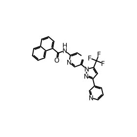 C=C(/C=N\C(=C/C)NC(=O)c1cccc2ccccc12)n1nc(-c2cccnc2)cc1C(F)(F)F